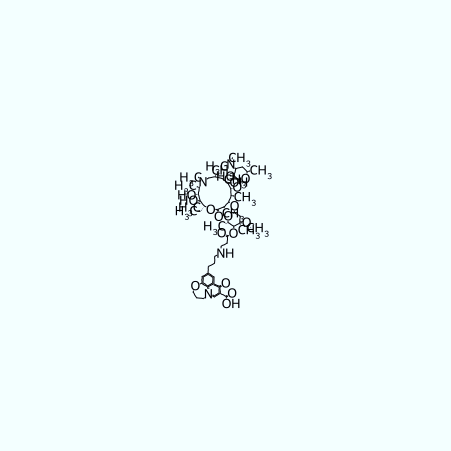 CC[C@H]1OC(=O)[C@H](C)[C@@H](O[C@H]2C[C@@](C)(OC)[C@@H](OC(=O)CCNCCCc3cc4c5c(c3)c(=O)c(C(=O)O)cn5CCCO4)[C@H](C)O2)[C@H](C)[C@@H](O[C@@H]2O[C@H](C)C[C@H](N(C)C)[C@H]2O)[C@](C)(O)C[C@@H](C)CN(C)[C@H](C)[C@@H](O)[C@]1(C)O